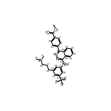 COC(=O)c1ccc(-c2nnc(Nc3cc(CCCN(C)C)cc(C(F)(F)F)c3)c3ccccc23)cc1